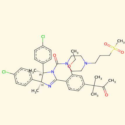 CCOc1cc(C(C)(C)C(C)=O)ccc1C1=N[C@@](C)(c2ccc(Cl)cc2)[C@@](C)(c2ccc(Cl)cc2)N1C(=O)N1CCN(CCCS(C)(=O)=O)CC1